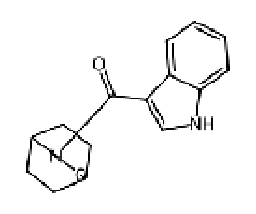 O=C(c1c[nH]c2ccccc12)N1CC2CCC(CC2)C1